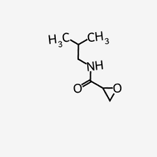 CC(C)CNC(=O)C1CO1